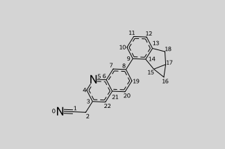 N#CCc1cnc2cc(-c3cccc4c3C3CC3C4)ccc2c1